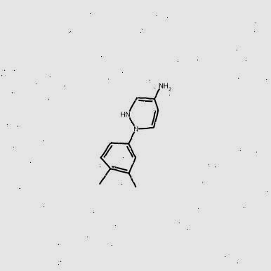 Cc1ccc(N2C=CC(N)=CN2)cc1C